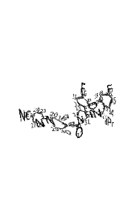 CC(C)C(NC(=O)C1(c2ccc(F)cc2)CCN(C(=O)C2CCN(c3ccc(C#N)cn3)CC2)CC1)c1ccc(F)cc1